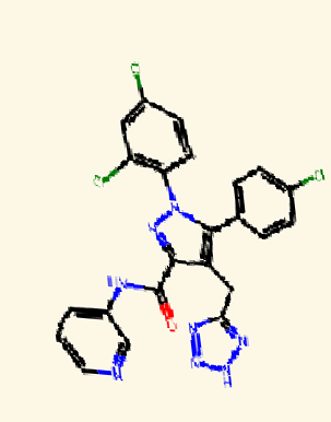 O=C(Nc1cccnc1)c1nn(-c2ccc(Cl)cc2Cl)c(-c2ccc(Cl)cc2)c1Cc1nn[nH]n1